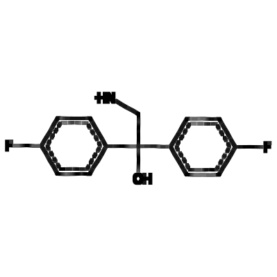 [NH]CC(O)(c1ccc(F)cc1)c1ccc(F)cc1